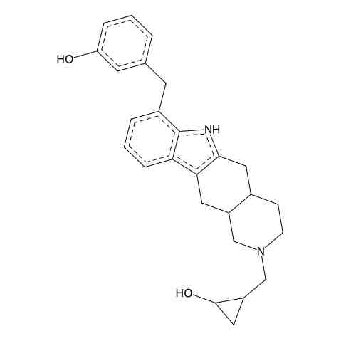 Oc1cccc(Cc2cccc3c4c([nH]c23)CC2CCN(CC3CC3O)CC2C4)c1